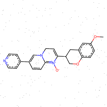 COc1ccc2c(c1)CC(C1=CCN3C=C(c4ccncc4)C=CC3=[N+]1[O-])CO2